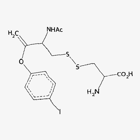 C=C(Oc1ccc(I)cc1)C(CSSCC(N)C(=O)O)NC(C)=O